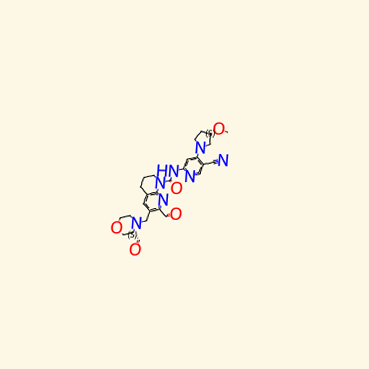 CO[C@H]1CCN(c2cc(NC(=O)N3CCCc4cc(CN5CCOC[C@H]5C=O)c(C=O)nc43)ncc2C#N)C1